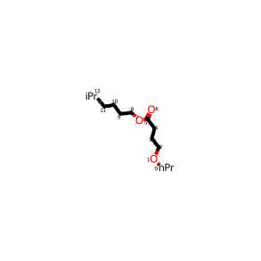 CCCOCCCC(=O)OCCCCC(C)C